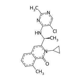 Cc1ncc(Cl)c(N[C@@H](C)c2cc3cccc(C)c3c(=O)n2C2CC2)n1